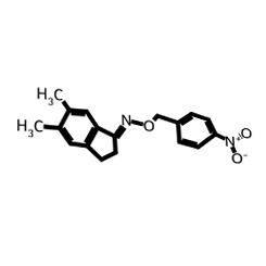 Cc1cc2c(cc1C)/C(=N/OCc1ccc([N+](=O)[O-])cc1)CC2